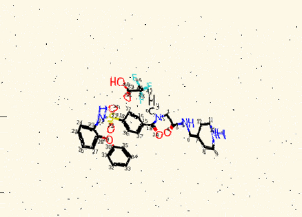 CN(CC(=O)NCC1CCNCC1)C(=O)c1ccc(S(=O)(=O)Nc2ccccc2Oc2ccccc2)cc1.O=C(O)C(F)(F)F